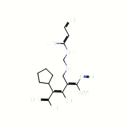 C=C/C=C(\N)NCNCC(=C(\N=C)NC)/C(C)=C(/C(=C)C)C1CCCC1